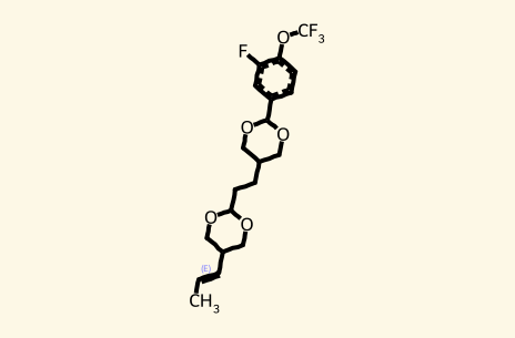 C/C=C/C1COC(CCC2COC(c3ccc(OC(F)(F)F)c(F)c3)OC2)OC1